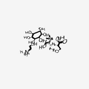 C[N+](C)(C)CCO.NCCO.N[C@@H](CO)C(=O)O.O[C@H]1[C@H](O)[C@@H](O)[C@H](O)[C@@H](O)[C@H]1O.[H+]